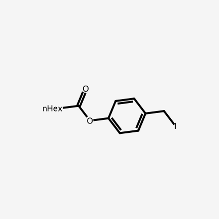 CCCCCCC(=O)Oc1ccc(CI)cc1